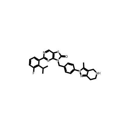 Cc1c2c(nn1-c1ccc(Cn3c(=O)sc4cnc(-c5cccc(F)c5C(C)C)nc43)cc1)CCNC2